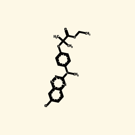 CCOC(=O)C(C)(C)Oc1ccc(N(C)c2nnc3cc(Cl)ccc3n2)cc1